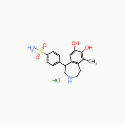 Cc1c(O)c(O)cc2c1CCNCC2c1ccc(S(N)(=O)=O)cc1.Cl